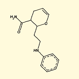 NC(=O)C1CC=COC1CCNc1ccccc1